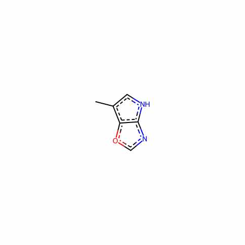 Cc1c[nH]c2ncoc12